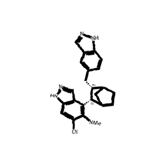 CNc1c(C#N)cc2[nH]ncc2c1[C@H]1C2CCC(C2)[C@H]1Cc1ccc2[nH]ncc2c1